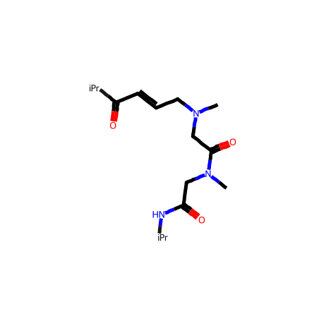 CC(C)NC(=O)CN(C)C(=O)CN(C)C/C=C/C(=O)C(C)C